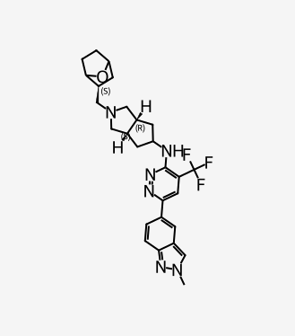 Cn1cc2cc(-c3cc(C(F)(F)F)c(NC4C[C@@H]5CN(C[C@@H]6CC7CCC6O7)C[C@@H]5C4)nn3)ccc2n1